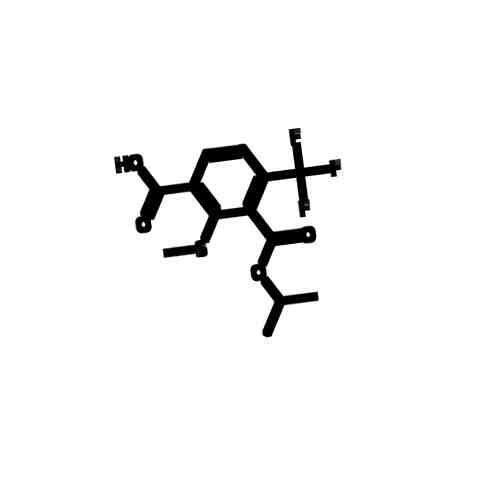 CSc1c(C(=O)O)ccc(C(F)(F)F)c1C(=O)OC(C)C